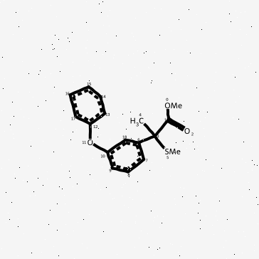 COC(=O)C(C)(SC)c1cccc(Oc2ccccc2)c1